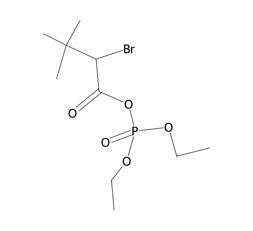 CCOP(=O)(OCC)OC(=O)C(Br)C(C)(C)C